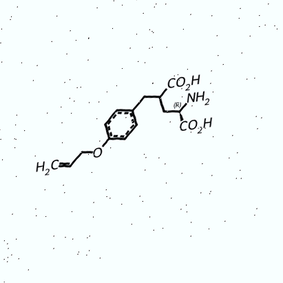 C=CCOc1ccc(CC(C[C@@H](N)C(=O)O)C(=O)O)cc1